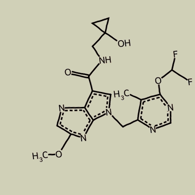 COc1cnc2c(C(=O)NCC3(O)CC3)cn(Cc3ncnc(OC(F)F)c3C)c2n1